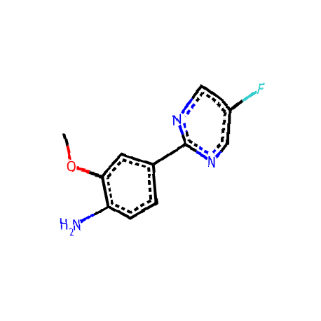 COc1cc(-c2ncc(F)cn2)ccc1N